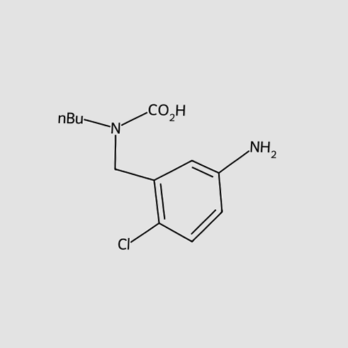 CCCCN(Cc1cc(N)ccc1Cl)C(=O)O